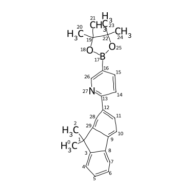 CC1(C)c2ccccc2-c2ccc(-c3ccc(B4OC(C)(C)C(C)(C)O4)cn3)cc21